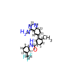 Cc1ccc(C(=O)Nc2cccc(C(F)(F)F)c2)cc1-c1ccc2ncnc(N)c2c1